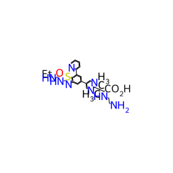 CCNC(=O)Nc1nc2cc(-c3cnc(C(C)(C)C(NCCN)C(=O)O)nc3)cc(-c3ccccn3)c2s1